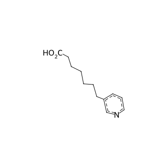 O=C(O)CCCCCCc1cccnc1